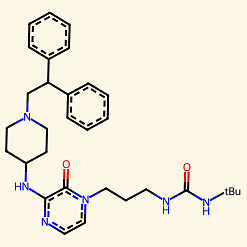 CC(C)(C)NC(=O)NCCCn1ccnc(NC2CCN(CC(c3ccccc3)c3ccccc3)CC2)c1=O